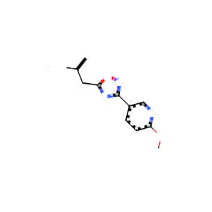 C=C(Cc1nc(-c2ccc(OCCCC)nc2)no1)C(=O)O